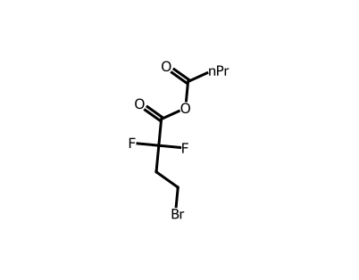 CCCC(=O)OC(=O)C(F)(F)CCBr